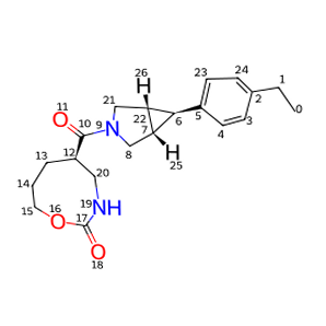 CCc1ccc([C@H]2[C@@H]3CN(C(=O)[C@@H]4CCCOC(=O)NC4)C[C@@H]32)cc1